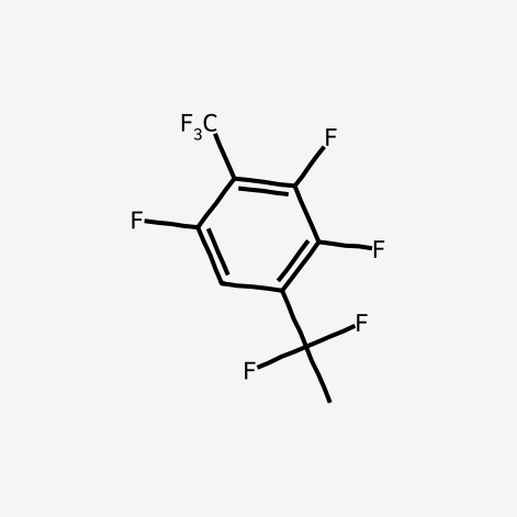 CC(F)(F)c1cc(F)c(C(F)(F)F)c(F)c1F